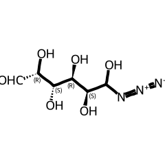 [N-]=[N+]=NC(O)[C@@H](O)[C@H](O)[C@H](O)[C@@H](O)C=O